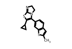 Cc1cc2ccc(C3=C(C4CC4)SC4=NCCN43)cc2s1